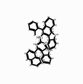 Cc1ccccc1-c1c(Nc2nc(-c3cccc4ccccc34)c3c(n2)oc2ccccc23)c2c3ccccc3sc2c2ccccc12